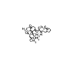 CO[C@H]1[C@H](C2(C)O[C@@H]2CC=C(C)C)[C@]2(CC[C@H]1OC(=O)NCCC1CCCN1C)CO2